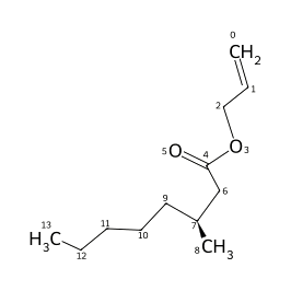 C=CCOC(=O)C[C@@H](C)CCCCC